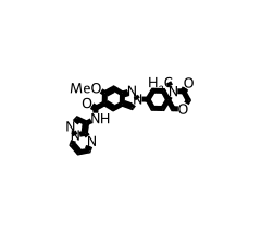 COc1cc2nn(C3CCC4(CC3)COCC(=O)N4C)cc2cc1C(=O)Nc1cnn2cccnc12